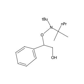 CCCC(C)(C)N(OC(CO)c1ccccc1)C(C)(C)C